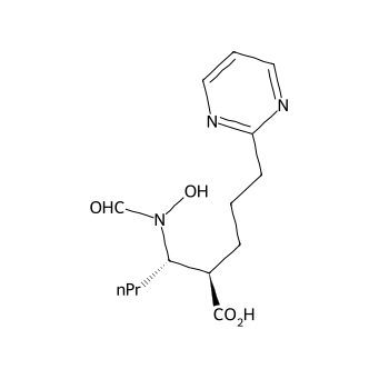 CCC[C@@H]([C@@H](CCCc1ncccn1)C(=O)O)N(O)C=O